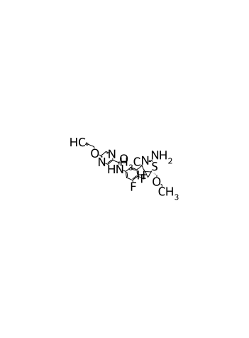 C#CCOc1cnc(C(=O)Nc2cc(F)c(F)c([C@]3(C)N=C(N)S[C@@]4(COCC)C[C@H]43)c2)cn1